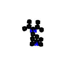 c1ccc(-c2cc(-c3ccccc3)cc(-c3cc(-c4cc(-c5ccccc5)cc(-c5ccccc5)c4)nc(-c4cccc(-c5cccc(-c6c(-c7ccccc7)c(-c7ccccc7)nc(-c7ccccc7)c6-c6ccccc6)c5)c4)n3)c2)cc1